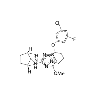 COc1cc(N2C[C@H]3CC[C@@H](C2)[C@@H]3Nc2nc3n(n2)CCC[C@H]3Oc2cc(F)cc(Cl)c2)cnn1